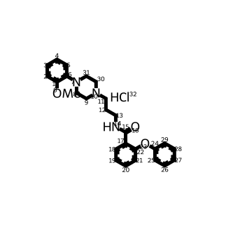 COc1ccccc1N1CCN(CCCNC(=O)c2ccccc2Oc2ccccc2)CC1.Cl